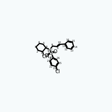 CC1CCCCC1N(CC=Cc1ccccc1)S(=O)(=O)c1ccc(Cl)cc1